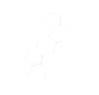 COc1c(F)ccc(O)c1C(C)N(C)CC1CCCN1C